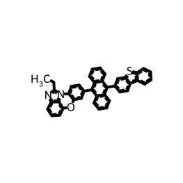 CCc1nc2cccc3c2n1-c1ccc(-c2c4ccccc4c(-c4ccc5c(c4)sc4ccccc45)c4ccccc24)cc1O3